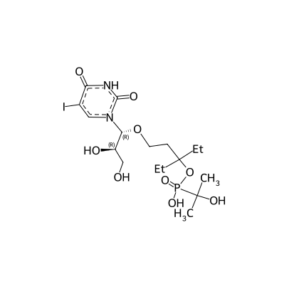 CCC(CC)(CCO[C@H]([C@H](O)CO)n1cc(I)c(=O)[nH]c1=O)OP(=O)(O)C(C)(C)O